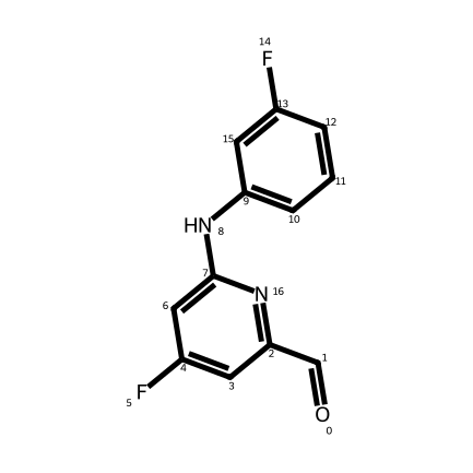 O=Cc1cc(F)cc(Nc2cccc(F)c2)n1